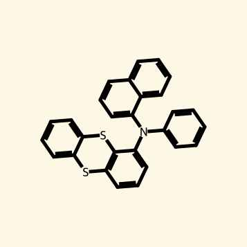 c1ccc(N(c2cccc3c2Sc2ccccc2S3)c2cccc3ccccc23)cc1